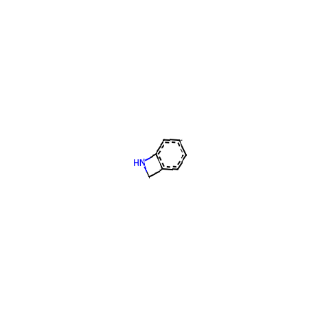 [c]1ccc2c(c1)NC2